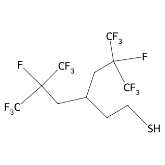 FC(F)(F)C(F)(CC(CCS)CC(F)(C(F)(F)F)C(F)(F)F)C(F)(F)F